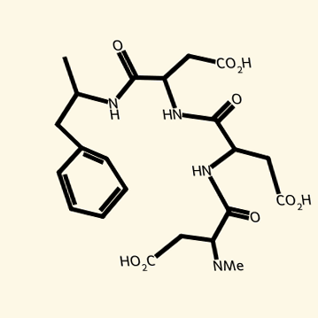 CNC(CC(=O)O)C(=O)NC(CC(=O)O)C(=O)NC(CC(=O)O)C(=O)NC(C)Cc1ccccc1